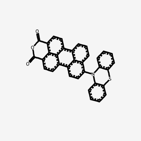 O=C1OC(=O)c2ccc3c4ccc(N5c6ccccc6Sc6ccccc65)c5cccc(c6ccc1c2c63)c54